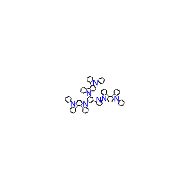 c1ccc(-n2c3ccccc3c3c4c5ccccc5n(-c5cc(-c6cccc(-n7c8ccccc8c8c9c%10ccccc%10n(-c%10ccccc%10)c9ccc87)n6)cc(-n6c7ccccc7c7c8c9ccccc9n(-c9ccccc9)c8ccc76)c5)c4ccc32)cc1